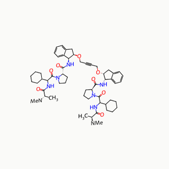 CN[C@@H](C)C(=O)NC(C(=O)N1CCC[C@H]1C(=O)N[C@H]1c2ccccc2C[C@H]1OCC#CCO[C@@H]1Cc2ccccc2[C@@H]1NC(=O)[C@@H]1CCCN1C(=O)C(NC(=O)[C@H](C)NC)C1CCCCC1)C1CCCCC1